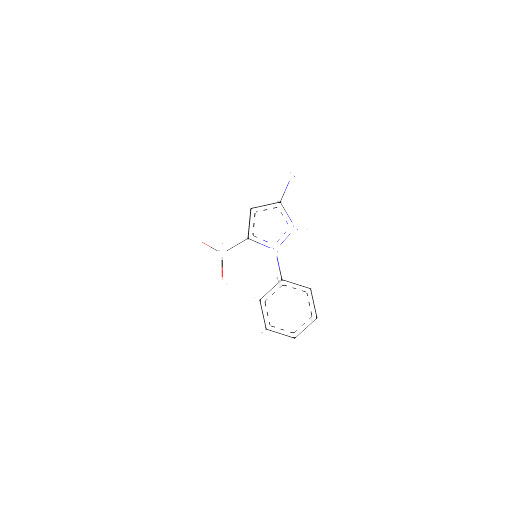 Nc1cc(B(O)O)n(-c2ccccc2)n1